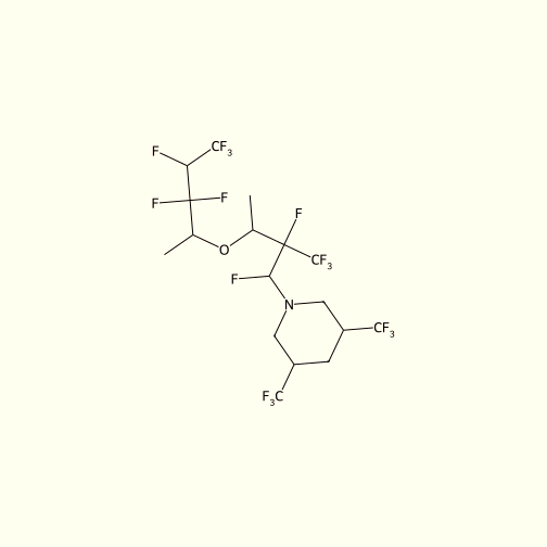 CC(OC(C)C(F)(C(F)N1CC(C(F)(F)F)CC(C(F)(F)F)C1)C(F)(F)F)C(F)(F)C(F)C(F)(F)F